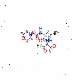 CCC1OCC(=O)C1NC(=O)[C@H](CC(C)C(C)C)NC(=O)ON1CCOCC1